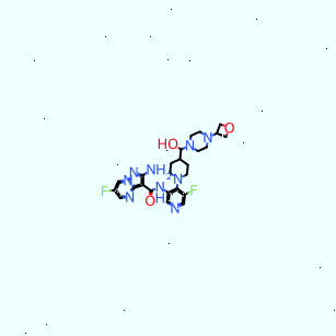 Nc1nn2cc(F)cnc2c1C(=O)Nc1cncc(F)c1N1CCC(C(O)N2CCN(C3COC3)CC2)CC1